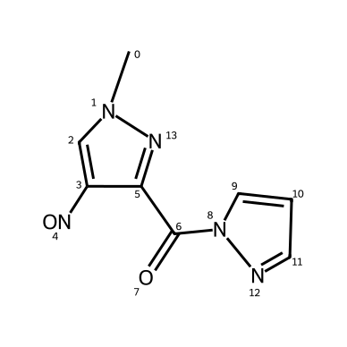 Cn1cc(N=O)c(C(=O)n2cccn2)n1